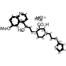 COc1ccc2nccc([C@@H](O)CC[C@@H]3CCN(CCSc4cccs4)C[C@@H]3C(=O)O)c2c1.Cl.Cl